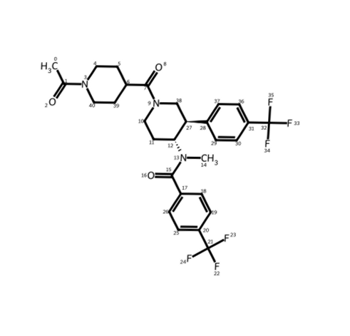 CC(=O)N1CCC(C(=O)N2CC[C@@H](N(C)C(=O)c3ccc(C(F)(F)F)cc3)[C@H](c3ccc(C(F)(F)F)cc3)C2)CC1